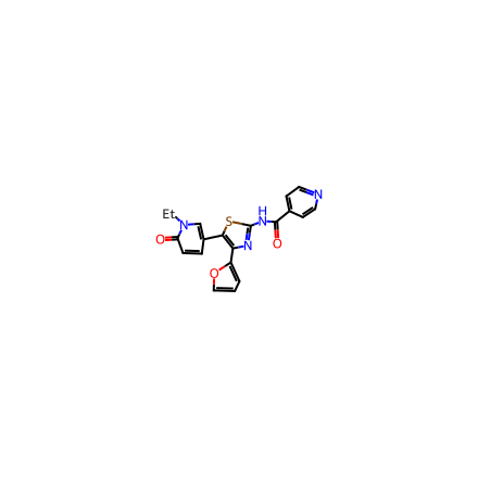 CCn1cc(-c2sc(NC(=O)c3ccncc3)nc2-c2ccco2)ccc1=O